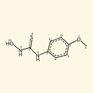 COc1ccc(NC(=S)NO)cc1